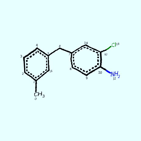 Cc1cccc(Cc2ccc(N)c(Cl)c2)c1